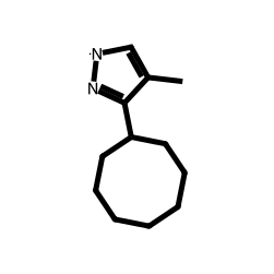 CC1=C[N]N=C1C1CCCCCCC1